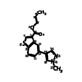 CCCOC(=O)c1csc2ccc(-c3cnn(C)c3)cc12